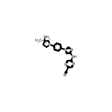 C[C@@]1(N)CCN(c2ccc(-n3cnc(Nc4cnc(C#N)cn4)c3)cc2)C1